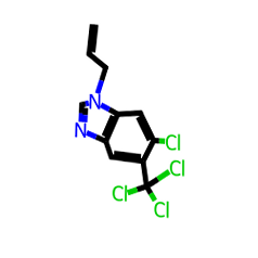 C=CCn1cnc2cc(C(Cl)(Cl)Cl)c(Cl)cc21